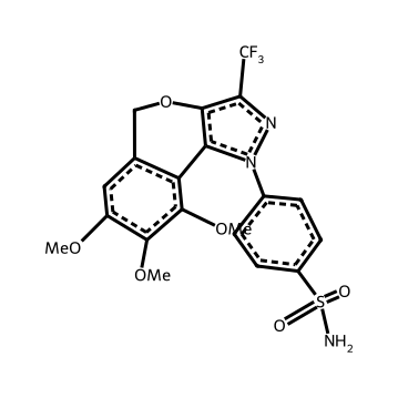 COc1cc2c(c(OC)c1OC)-c1c(c(C(F)(F)F)nn1-c1ccc(S(N)(=O)=O)cc1)OC2